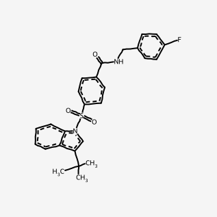 CC(C)(C)c1cn(S(=O)(=O)c2ccc(C(=O)NCc3ccc(F)cc3)cc2)c2ccccc12